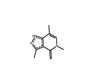 C=C1c2c(C)n[nH]c2C(C)=CN1C